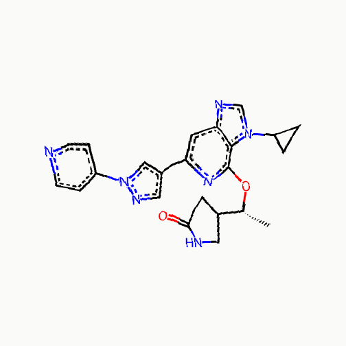 C[C@@H](Oc1nc(-c2cnn(-c3ccncc3)c2)cc2ncn(C3CC3)c12)C1CNC(=O)C1